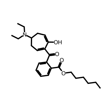 CCCCCCOC(=O)c1ccccc1C(=O)C1=CCC(N(CC)CC)CC=C1O